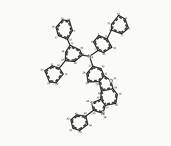 c1ccc(-c2ccc(N(c3cc(-c4ccccc4)cc(-c4ccccc4)c3)c3ccc4c(c3)oc3ccc5nc(-c6ccccc6)sc5c34)cc2)cc1